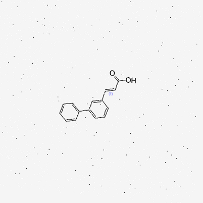 O=C(O)/C=C/c1cccc(-c2ccccc2)c1